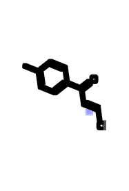 Cc1ccc(C(=O)/C=C/Cl)cc1